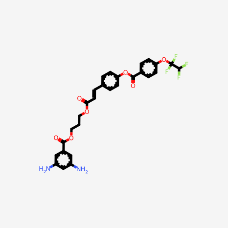 Nc1cc(N)cc(C(=O)OCCCOC(=O)C=Cc2ccc(OC(=O)c3ccc(OC(F)(F)C(F)F)cc3)cc2)c1